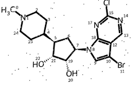 CN1CCC([C@H]2C[C@@H](n3cc(Br)c4cnc(Cl)nc43)[C@H](O)[C@@H]2O)CC1